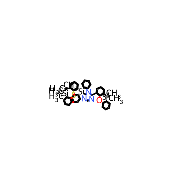 CC1(C)c2cccc([Si](c3ccccc3)(c3ccccc3)c3ncnc(-c4cccc5c4Oc4ccccc4[Si]5(C)C)n3)c2Sc2ccccc2[Si]1(C)C